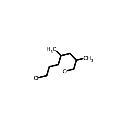 CC(C[O])CC(C)CCCCl